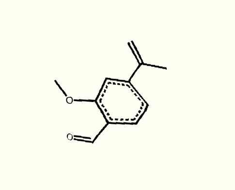 C=C(C)c1ccc(C=O)c(OC)c1